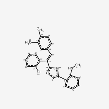 CNc1ncccc1-c1noc(C(=Cc2ccc(C)c(C)c2)c2ccccc2Cl)n1